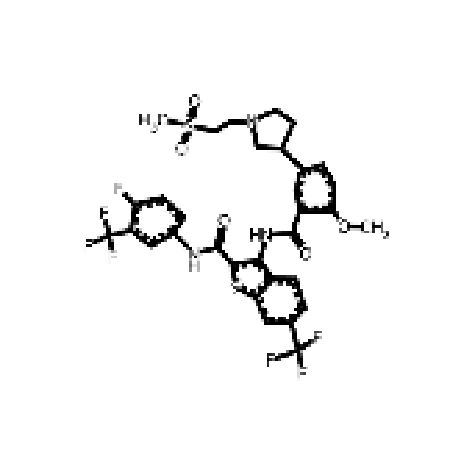 COc1ccc(C2CCN(CCS(C)(=O)=O)C2)cc1C(=O)Nc1c(C(=O)Nc2ccc(F)c(C(F)(F)F)c2)sc2cc(C(F)(F)F)ccc12